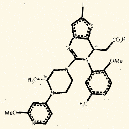 COc1cc(N2CCN(C3=Nc4cc(I)sc4[C@@H](CC(=O)O)N3c3cc(C(F)(F)F)ccc3OC)C[C@H]2C)ccn1